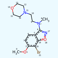 COc1ccc2c(N(C)CCN3CCOCC3)noc2c1Br